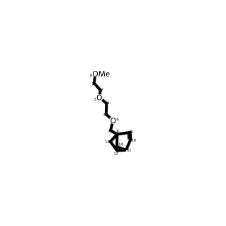 COCCOCCOCC12C=CC(CC1)C2